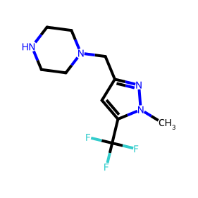 Cn1nc(CN2CCNCC2)cc1C(F)(F)F